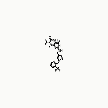 Cc1nc(NCc2cnn(Cc3ncccc3C(F)(F)F)c2)nc2c1NC(=O)[C@H](C(C)C)N2C